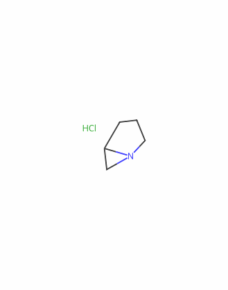 C1CC2CN2C1.Cl